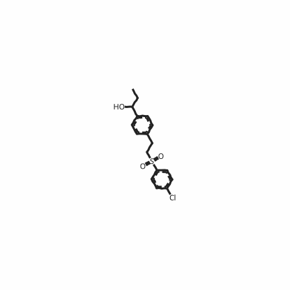 CCC(O)c1ccc(CCS(=O)(=O)c2ccc(Cl)cc2)cc1